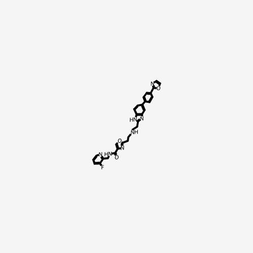 O=C(NCc1ncccc1F)c1coc(CCNCCc2nc3cc(-c4ccc(-c5ncco5)cc4)ccc3[nH]2)n1